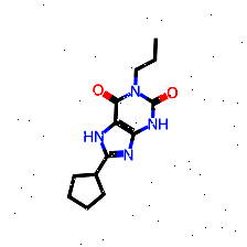 CCCn1c(=O)[nH]c2nc(C3CCCC3)[nH]c2c1=O